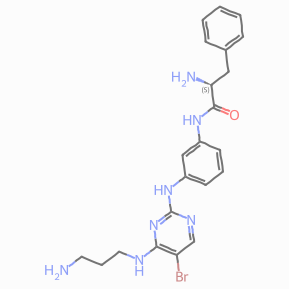 NCCCNc1nc(Nc2cccc(NC(=O)[C@@H](N)Cc3ccccc3)c2)ncc1Br